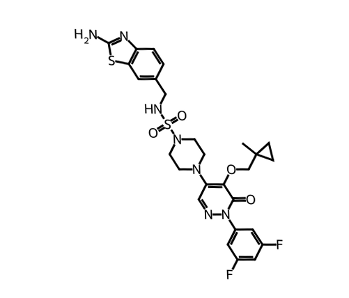 CC1(COc2c(N3CCN(S(=O)(=O)NCc4ccc5nc(N)sc5c4)CC3)cnn(-c3cc(F)cc(F)c3)c2=O)CC1